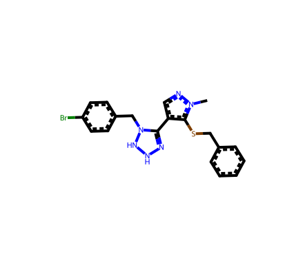 Cn1ncc(C2=NNNN2Cc2ccc(Br)cc2)c1SCc1ccccc1